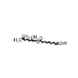 CCCCCCCCCCCCCCCCCC(=O)OC/C=C(\C)CCC=C(C)C